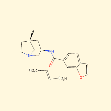 O=C(N[C@@H]1C[C@H]2CCN(C2)C1)c1ccc2ccoc2c1.O=C(O)C=CC(=O)O